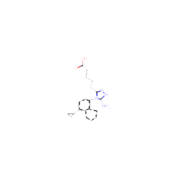 Nc1nnc(SCCCC(=O)O)n1-c1ccc(C2CC2)c2ccccc12